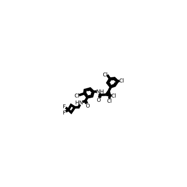 O=C(NCC1CC(F)(F)C1)c1cc(NC(=O)C2C(c3cc(Cl)cc(Cl)c3)C2(Cl)Cl)ccc1Cl